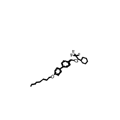 CCCCCCCCOc1ccc(-c2ccc(COC(C3CCCCC3)C(F)(F)F)cc2)cc1